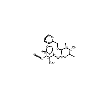 CC(=O)O[C@H]1C(N=[N+]=[N-])[C@@H]2OCC(O2)[C@H]1O[C@@H]1OC(C)[C@@H](O)[C@H](C)C1OCc1ccccc1